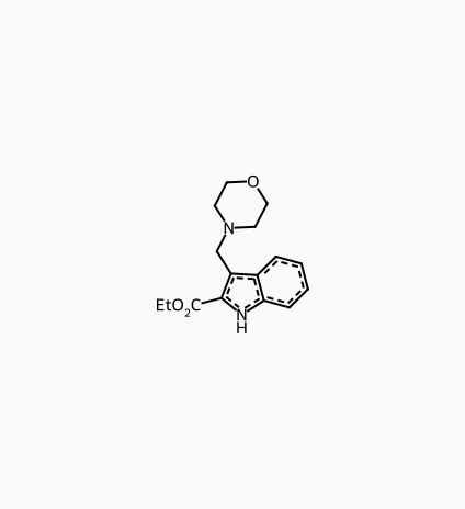 CCOC(=O)c1[nH]c2ccccc2c1CN1CCOCC1